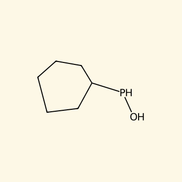 OPC1CCCCC1